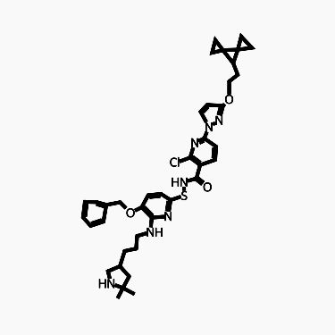 CC1(C)CC(CCCNc2nc(SNC(=O)c3ccc(-n4ccc(OCCC5C6(CC6)C56CC6)n4)nc3Cl)ccc2OCc2ccccc2)CN1